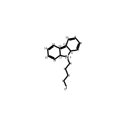 ICCCCN1C2C=CC=CC2=C2C=CC=CC21